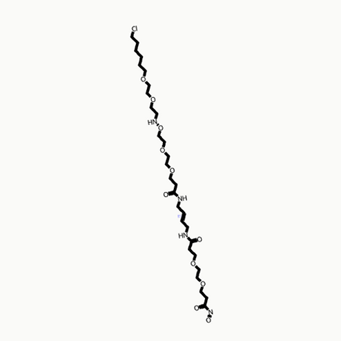 O=NC(=O)CCOCCOCCC(=O)NC/C=C/CNC(=O)CCOCCOCCONCCOCCOCCCCCCCl